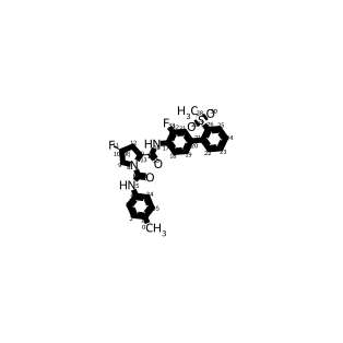 Cc1ccc(NC(=O)N2C[C@H](F)C[C@@H]2C(=O)Nc2ccc(-c3ccccc3S(C)(=O)=O)cc2F)cc1